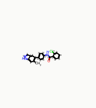 Cc1cc2[nH]ncc2cc1-c1ccc(NC(=O)c2ccccc2Cl)cc1